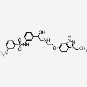 CCc1n[nH]c2cc(OCCNCC(O)c3cccc(NS(=O)(=O)c4cccc(N)c4)c3)ccc12